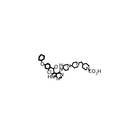 O=C(c1ccc(Oc2ccccc2)cc1Cl)c1c[nH]c2ncnc(NC3CCN(C4CCN(CC5CCN(C(=O)O)CC5)CC4)CC3)c12